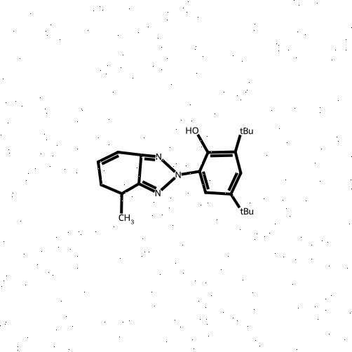 CC1CC=Cc2nn(-c3cc(C(C)(C)C)cc(C(C)(C)C)c3O)nc21